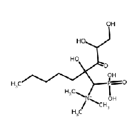 CCCCCC(O)(C(=O)C(O)CO)C([N+](C)(C)C)P(=O)(O)O